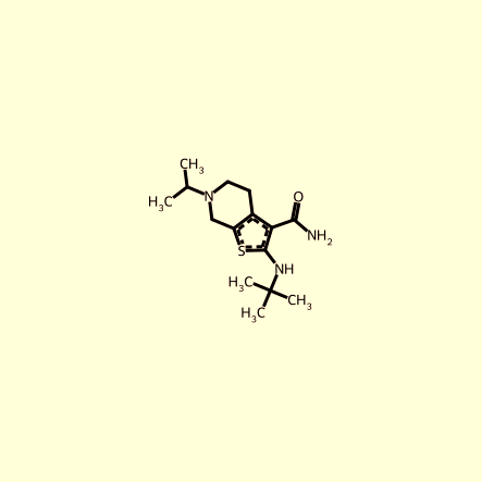 CC(C)N1CCc2c(sc(NC(C)(C)C)c2C(N)=O)C1